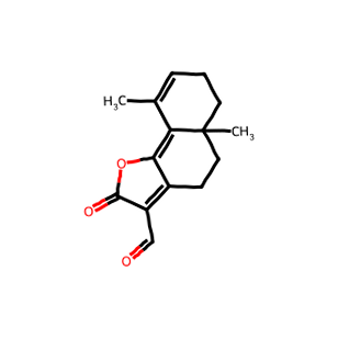 CC1=CCCC2(C)CCC3=C(C=O)C(=O)OC3=C12